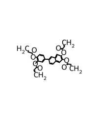 C=CC(=O)Oc1ccc(-c2ccc3cc(OC(=O)C=C)c(OC(=O)C=C)cc3c2)cc1OC(=O)C=C